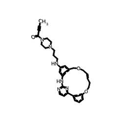 CC#CC(=O)N1CCN(CCCNc2cc3cc(c2)Nc2nccc(n2)-c2cccc(c2)OCC/C=C/COC3)CC1